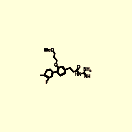 COCCCOc1cc(CCC(=O)NC(=N)N)ccc1-c1ccc(C)c(F)c1